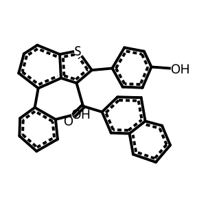 O=C(c1ccc2ccccc2c1)c1c(-c2ccc(O)cc2)sc2cccc(-c3ccccc3O)c12